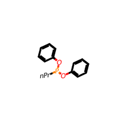 CCCP(Oc1ccccc1)Oc1ccccc1